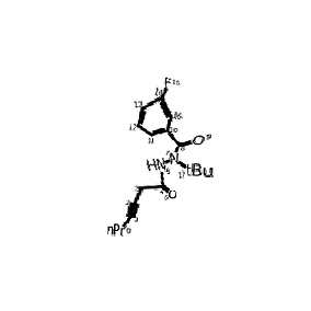 CCCC#CCC(=O)NN(C(=O)c1cccc(F)c1)C(C)(C)C